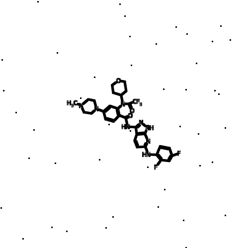 CN1CCN(c2ccc(C(=O)Nc3n[nH]c4nc(Nc5ccc(F)cc5F)ccc34)c(N(C(=O)C(F)(F)F)C3CCOCC3)c2)CC1